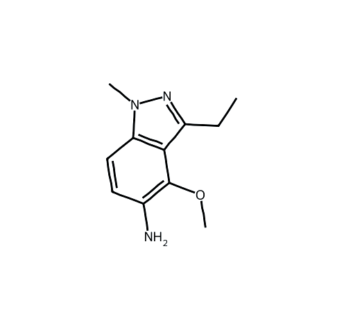 CCc1nn(C)c2ccc(N)c(OC)c12